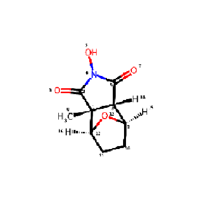 C[C@@]12C(=O)N(O)C(=O)[C@@H]1[C@H]1CC[C@@H]2O1